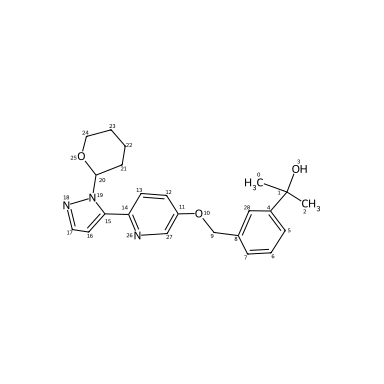 CC(C)(O)c1cccc(COc2ccc(-c3ccnn3C3CCCCO3)nc2)c1